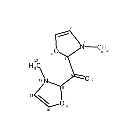 CN1C=COC1C(=O)C1OC=CN1C